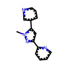 Cn1nc(-c2ccccn2)cc1-c1cccnc1